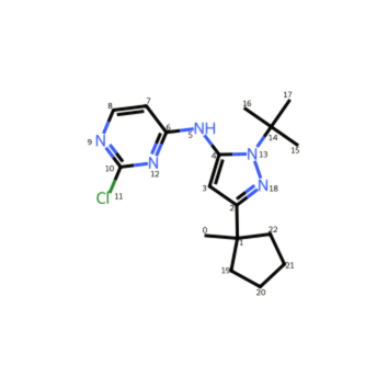 CC1(c2cc(Nc3ccnc(Cl)n3)n(C(C)(C)C)n2)CCCC1